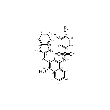 O=S(=O)(Nc1cc(Sc2nc3ccccc3s2)c(O)c2ccccc12)c1ccc(Br)c(F)c1